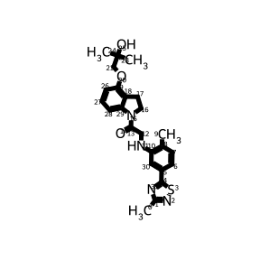 Cc1nsc(-c2ccc(C)c(NCC(=O)N3CCc4c(OCC(C)(C)O)cccc43)c2)n1